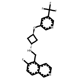 Fc1ccc2cnccc2c1CN[C@H]1C[C@H](Oc2cncc(C(F)(F)F)c2)C1